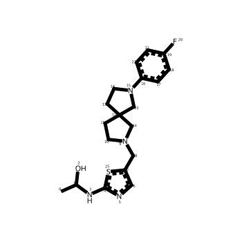 CC(O)Nc1ncc(CN2CCC3(CCN(c4ccc(F)cc4)C3)C2)s1